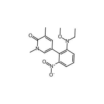 CCN(OC)c1cccc([N+](=O)[O-])c1-c1cc(C)c(=O)n(C)c1